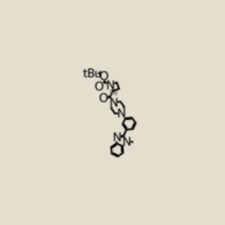 Cn1c(-c2cccc(N3CCN(C(=O)[C@@H]4CCN4C(=O)OC(C)(C)C)CC3)c2)nc2ccccc21